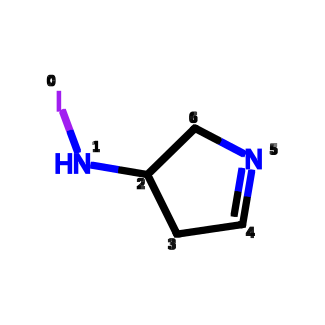 INC1CC=NC1